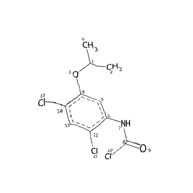 CC(C)Oc1cc(NC(=O)Cl)c(Cl)cc1Cl